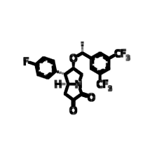 C[C@@H](O[C@H]1CN2C(=O)C(=O)C[C@H]2[C@@H]1c1ccc(F)cc1)c1cc(C(F)(F)F)cc(C(F)(F)F)c1